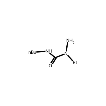 CCCCNC(=O)N(N)CC